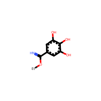 CCOC(=N)c1cc(O)c(O)c(O)c1